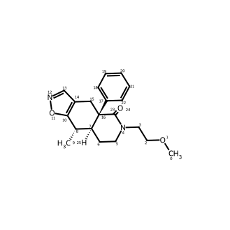 COCCN1CC[C@H]2[C@H](C)c3oncc3C[C@]2(c2ccccc2)C1=O